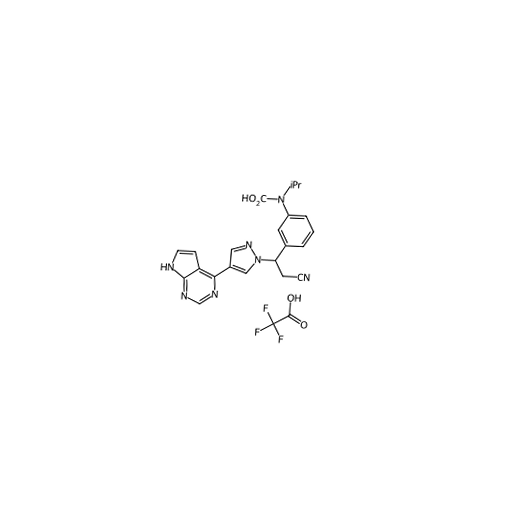 CC(C)N(C(=O)O)c1cccc(C(CC#N)n2cc(-c3ncnc4[nH]ccc34)cn2)c1.O=C(O)C(F)(F)F